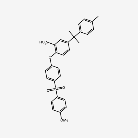 COc1ccc(S(=O)(=O)c2ccc(Oc3ccc(C(C)(C)c4ccc(C)cc4)cc3S(=O)(=O)O)cc2)cc1